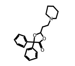 O=C1OC(CCN2CCCCC2)OC1(c1ccccc1)c1ccccc1